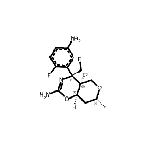 C[C@@H]1C[C@H]2OC(N)=N[C@](CF)(c3cc(N)ccc3F)[C@H]2CO1